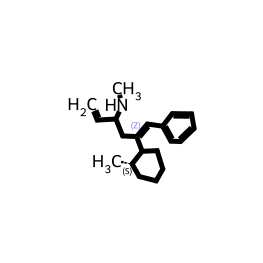 C=CC(C/C(=C/c1ccccc1)C1CCCC[C@@H]1C)NC